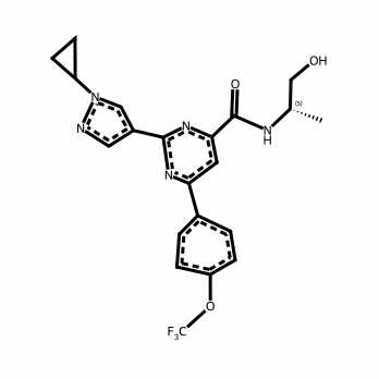 C[C@@H](CO)NC(=O)c1cc(-c2ccc(OC(F)(F)F)cc2)nc(-c2cnn(C3CC3)c2)n1